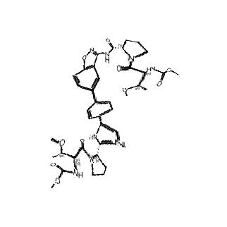 COC(=O)N[C@H](C(=O)N1CCC[C@H]1C(=O)Nc1noc2ccc(-c3ccc(-c4cnc([C@@H]5CCCN5C(=O)[C@@H](NC(=O)OC)[C@@H](C)OC)[nH]4)cc3)cc12)[C@@H](C)OC